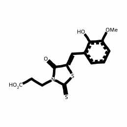 COc1cccc(/C=C2\SC(=S)N(CCC(=O)O)C2=O)c1O